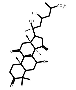 CC(CC(O)C[C@](C)(O)C1CC(=O)[C@@]2(C)C3=C(C(=O)C[C@]12C)[C@@]1(C)CCC(=O)C(C)(C)C1CC3O)C(=O)O